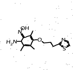 CC1=C(OCCCc2nccs2)C(C)=C(C)C(N)C1=NO